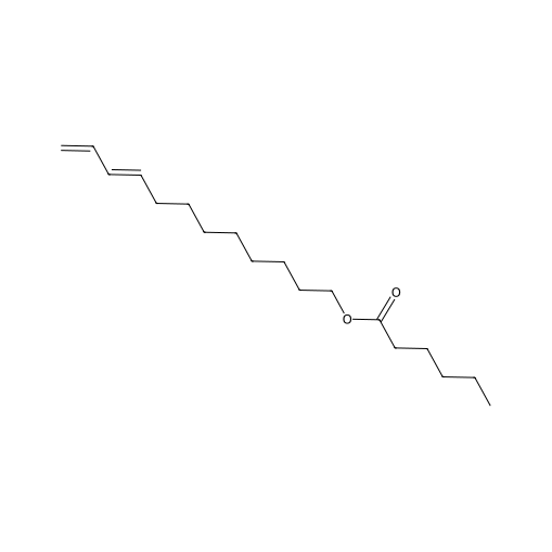 C=CC=CCCCCCCCCOC(=O)CCCCC